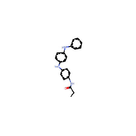 CCC(=O)Nc1ccc(Nc2ccc(Nc3ccccc3)cc2)cc1